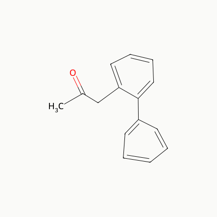 CC(=O)Cc1ccccc1-c1ccccc1